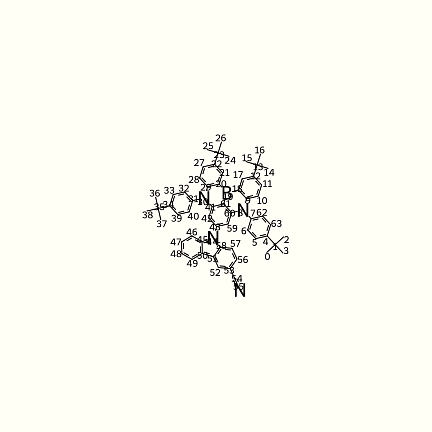 CC(C)(C)c1ccc(N2c3ccc(C(C)(C)C)cc3B3c4cc(C(C)(C)C)ccc4N(c4ccc(C(C)(C)C)cc4)c4cc(-n5c6ccccc6c6cc(C#N)ccc65)cc2c43)cc1